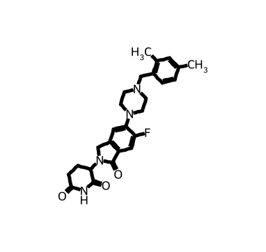 Cc1ccc(CN2CCN(c3cc4c(cc3F)C(=O)N(C3CCC(=O)NC3=O)C4)CC2)c(C)c1